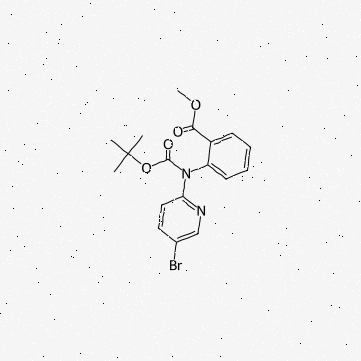 COC(=O)c1ccccc1N(C(=O)OC(C)(C)C)c1ccc(Br)cn1